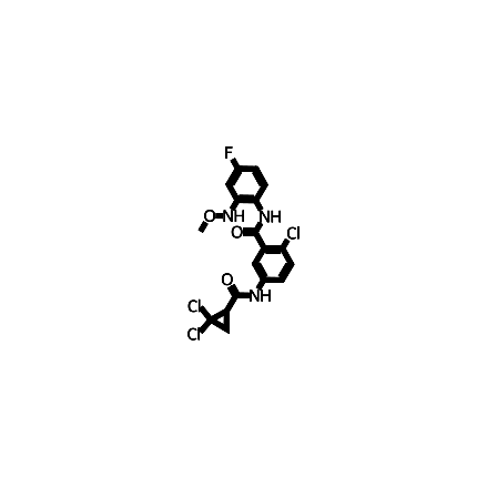 CONc1cc(F)ccc1NC(=O)c1cc(NC(=O)C2CC2(Cl)Cl)ccc1Cl